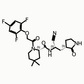 CC1(C)CCN(C(=O)COc2c(F)cc(F)cc2F)[C@H](C(=O)N[C@H](C#N)C[C@@H]2CCNC2=O)C1